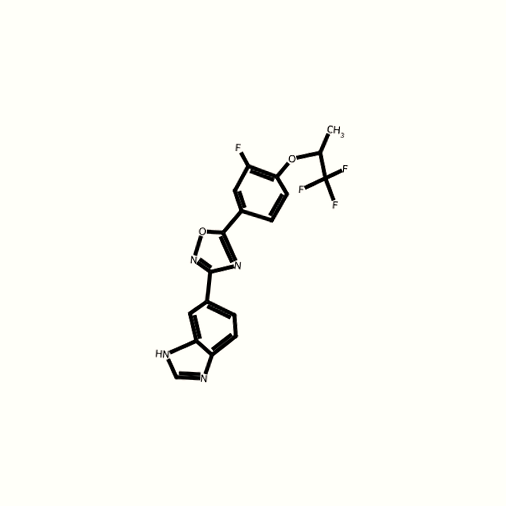 CC(Oc1ccc(-c2nc(-c3ccc4nc[nH]c4c3)no2)cc1F)C(F)(F)F